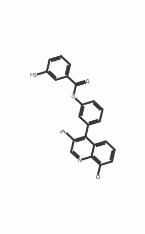 CC(C)c1cnc2c(Cl)cccc2c1-c1cccc(OC(=O)c2cccc(S)c2)c1